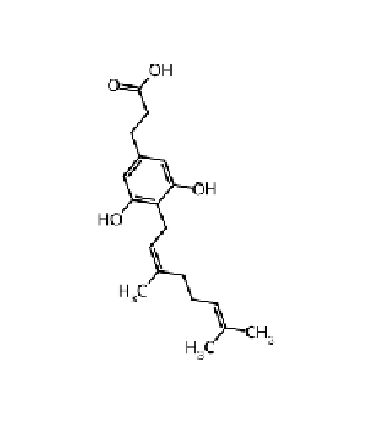 CC(C)=CCCC(C)=CCc1c(O)cc(CCC(=O)O)cc1O